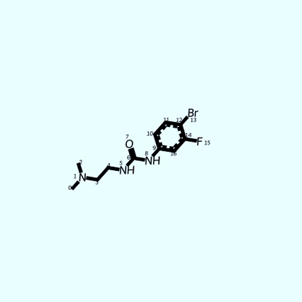 CN(C)CCNC(=O)Nc1ccc(Br)c(F)c1